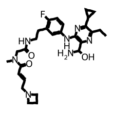 CCc1nc(C(N)O)c(Nc2ccc(F)c(CCNC(=O)CN(C)C(=O)/C=C/CN3CCC3)c2)nc1C1CC1